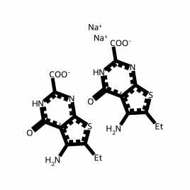 CCc1sc2nc(C(=O)[O-])[nH]c(=O)c2c1N.CCc1sc2nc(C(=O)[O-])[nH]c(=O)c2c1N.[Na+].[Na+]